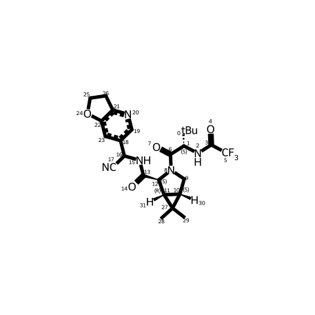 CC(C)(C)[C@H](NC(=O)C(F)(F)F)C(=O)N1C[C@H]2[C@@H]([C@H]1C(=O)NC(C#N)c1cnc3c(c1)OCC3)C2(C)C